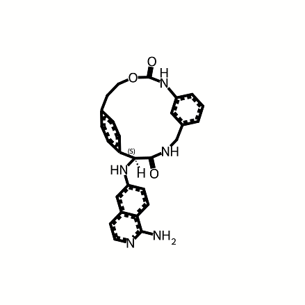 Nc1nccc2cc(N[C@@H]3C(=O)NCc4cccc(c4)NC(=O)OCCc4ccc3cc4)ccc12